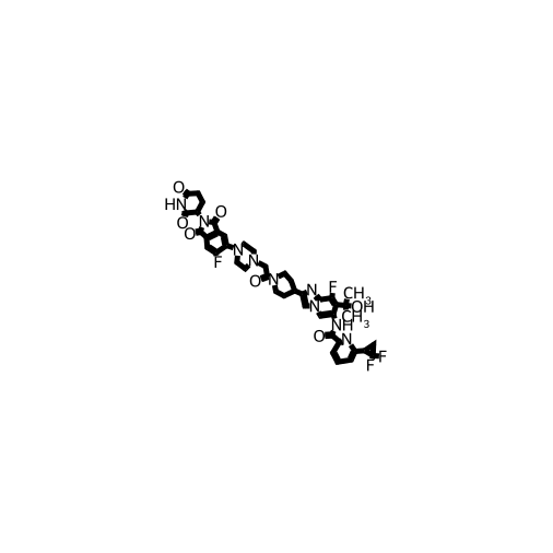 CC(C)(O)c1c(NC(=O)c2cccc(C3CC3(F)F)n2)cn2cc(C3CCN(C(=O)CN4CCN(c5cc6c(cc5F)C(=O)N(C5CCC(=O)NC5=O)C6=O)CC4)CC3)nc2c1F